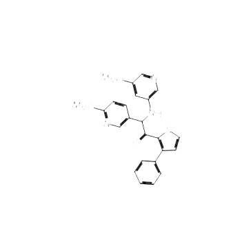 COc1cncc(NC(C(=O)c2sccc2-c2ccccc2)c2ccc(OC)nc2)c1